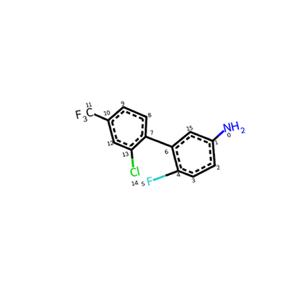 Nc1ccc(F)c(-c2ccc(C(F)(F)F)cc2Cl)c1